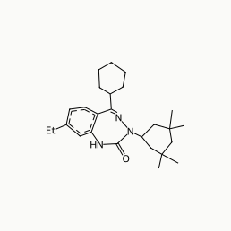 CCc1ccc2c(c1)NC(=O)N(C1CC(C)(C)CC(C)(C)C1)N=C2C1CCCCC1